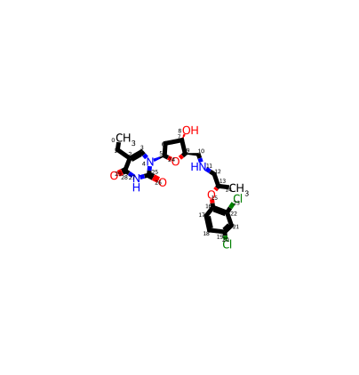 CCc1cn([C@H]2C[C@H](O)[C@@H](CNCC(C)Oc3ccc(Cl)cc3Cl)O2)c(=O)[nH]c1=O